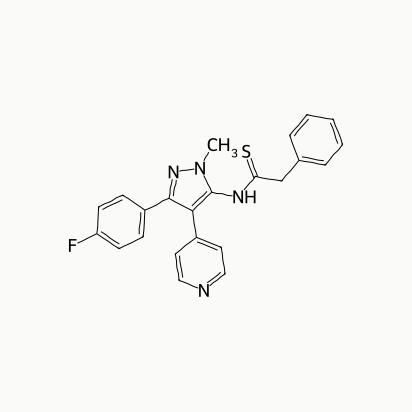 Cn1nc(-c2ccc(F)cc2)c(-c2ccncc2)c1NC(=S)Cc1ccccc1